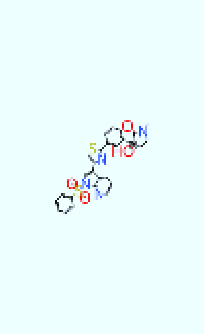 CN1CC[C@@](O)(c2cccc(-c3nc(-c4cn(S(=O)(=O)c5ccccc5)c5ncccc45)cs3)c2)C1=O